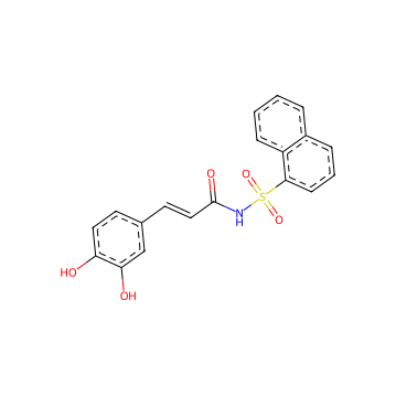 O=C(C=Cc1ccc(O)c(O)c1)NS(=O)(=O)c1cccc2ccccc12